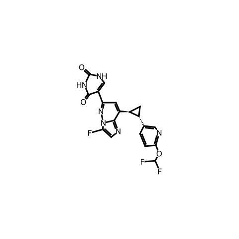 O=c1[nH]cc(-c2cc([C@H]3C[C@@H]3c3ccc(OC(F)F)nc3)c3ncc(F)n3n2)c(=O)[nH]1